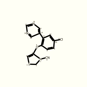 N#CN1CSC=C1Oc1ccc(Cl)cc1-c1cncnc1